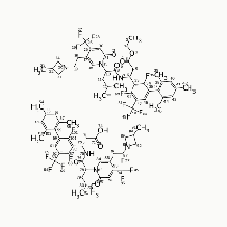 CCOC(=O)C[C@H](NC(=O)C(CC(C)C)n1cc(CCN2CC(C)C2)c(C(F)(F)F)cc1=O)c1c(F)c(-c2c(C)cc(C)cc2C)cc(C(F)(F)F)c1F.Cc1cc(C)c(-c2cc(C(F)(F)F)c(F)c([C@H](CC(=O)O)NC(=O)C(CC(C)C)n3cc(CCN4CC(C)C4)c(C(F)(F)F)cc3=O)c2F)c(C)c1